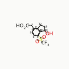 O=C(O)Cc1ccc(S(=O)(=O)C(F)(F)F)c2c1CC[C@H]2O